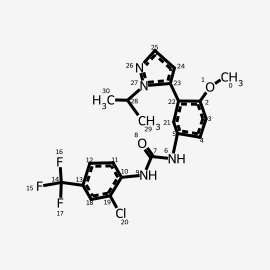 COc1ccc(NC(=O)Nc2ccc(C(F)(F)F)cc2Cl)cc1-c1ccnn1C(C)C